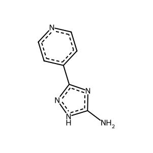 Nc1nc(-c2ccncc2)n[nH]1